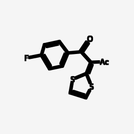 CC(=O)C(C(=O)c1ccc(F)cc1)=C1SC=CS1